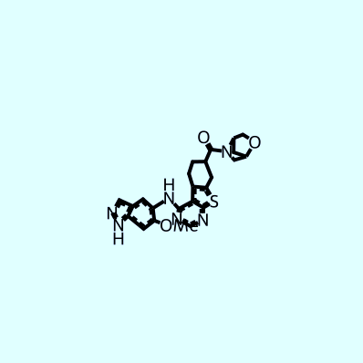 COc1cc2[nH]ncc2cc1Nc1ncnc2sc3c(c12)CCC(C(=O)N1CC2CC1CO2)C3